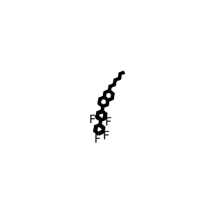 CCCCCCC1CCC2CC(c3cc(F)c(-c4ccc(F)c(F)c4)c(F)c3)CCC2C1